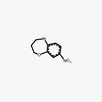 O=[N+]([O-])c1ccc2c(c1)OCCC[N]2